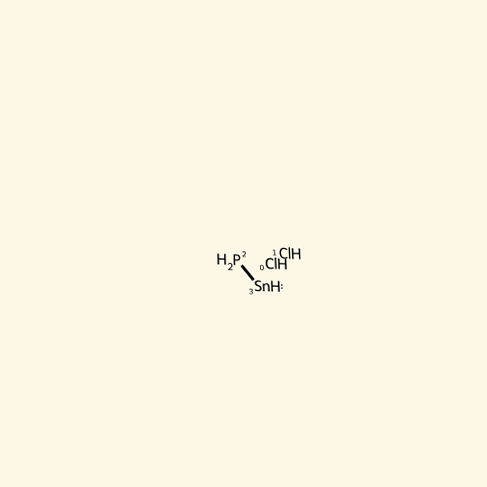 Cl.Cl.[PH2][SnH]